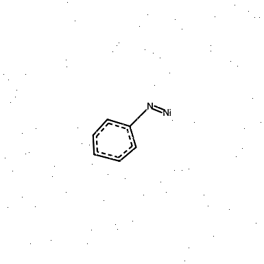 [Ni]=[N]c1ccccc1